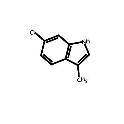 [CH2]c1c[nH]c2cc(Cl)ccc12